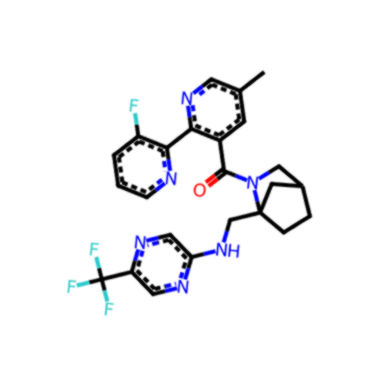 Cc1cnc(-c2ncccc2F)c(C(=O)N2CC3CCC2(CNc2cnc(C(F)(F)F)cn2)C3)c1